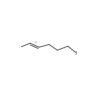 [CH2]/C=C/CCCI